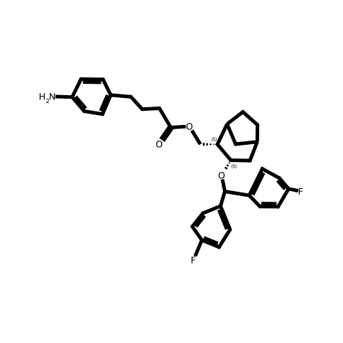 Nc1ccc(CCCC(=O)OC[C@@H]2C3CCC(C3)C[C@@H]2OC(c2ccc(F)cc2)c2ccc(F)cc2)cc1